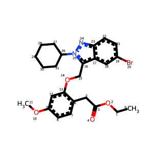 CCOC(=O)Cc1ccc(OC)cc1OCc1c2cc(Br)ccc2nn1C1CCCCC1